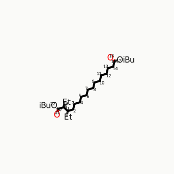 CCC(CCCCCCCCCCCCCC(=O)OCC(C)C)C(CC)C(=O)OCC(C)C